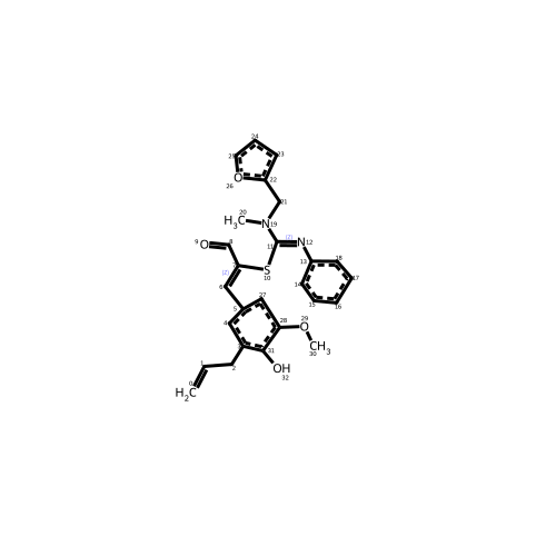 C=CCc1cc(/C=C(/C=O)S/C(=N\c2ccccc2)N(C)Cc2ccco2)cc(OC)c1O